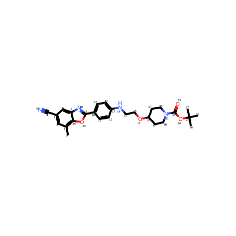 Cc1cc(C#N)cc2nc(-c3ccc(NCCOC4CCN(C(=O)OC(C)(C)C)CC4)cc3)oc12